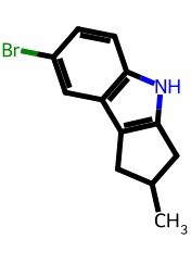 CC1Cc2[nH]c3ccc(Br)cc3c2C1